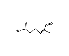 C/C(C=O)=C/CCC(=O)O